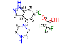 Clc1cc(N2CCNCC2)c2cn[nH]c2c1.O=C(O)C(F)(F)F